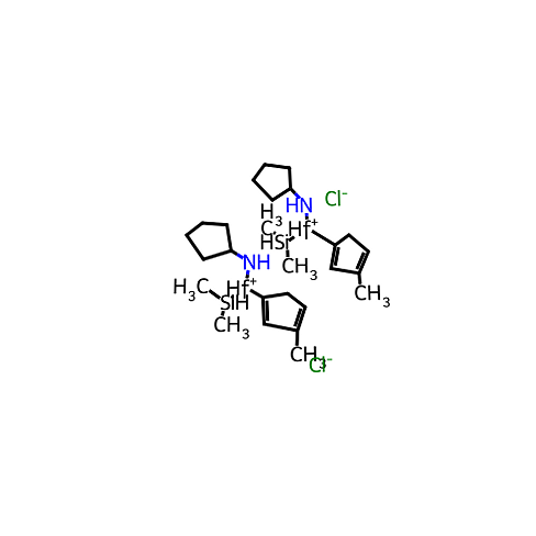 CC1=CC[C]([Hf+]([NH]C2CCCC2)[SiH](C)C)=C1.CC1=CC[C]([Hf+]([NH]C2CCCC2)[SiH](C)C)=C1.[Cl-].[Cl-]